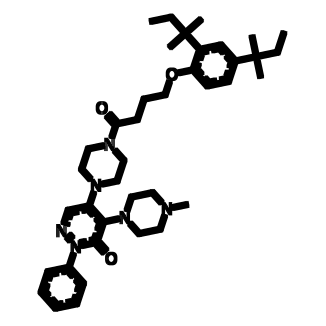 CCC(C)(C)c1ccc(OCCCC(=O)N2CCN(c3cnn(-c4ccccc4)c(=O)c3N3CCN(C)CC3)CC2)c(C(C)(C)CC)c1